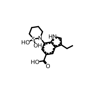 CCc1c[nH]c2c(N3CCCCS3(O)O)cc(C(=O)O)cc12